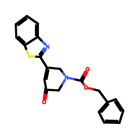 O=C1C=C(c2nc3ccccc3s2)CN(C(=O)OCc2ccccc2)C1